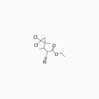 CCOC(=O)C(C#N)C(C)C1(C)CC1(Cl)Cl